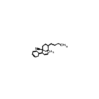 C/C=C\C(=C1\C=CC=CC1)C1(C#N)CCC(CCCC)CC1